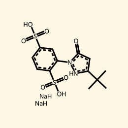 CC(C)(C)c1cc(=O)n(-c2cc(S(=O)(=O)O)ccc2S(=O)(=O)O)[nH]1.[NaH].[NaH]